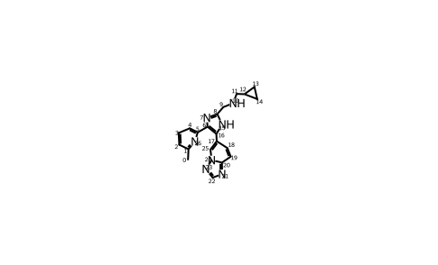 Cc1cccc(-c2nc(CNCC3CC3)[nH]c2-c2ccc3ncnn3c2)n1